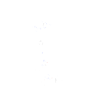 CC(C)(C)OC(=O)/N=C(\NCCCC[C@H](NC(=O)OC(C)(C)C)C(=O)NCCCNCCOc1ccc(CCCCNC(=N)NC(=O)c2nc(Cl)c(N)nc2N)cc1)NC(=O)OC(C)(C)C